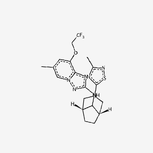 Cc1cc(OCC(F)(F)F)c2nc(NC3[C@@H]4CC[C@H]3CN(c3nc(C)ns3)C4)nn2c1